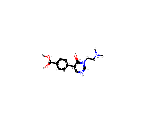 COC(=O)c1ccc(-c2cncn(CCN(C)C)c2=O)cc1